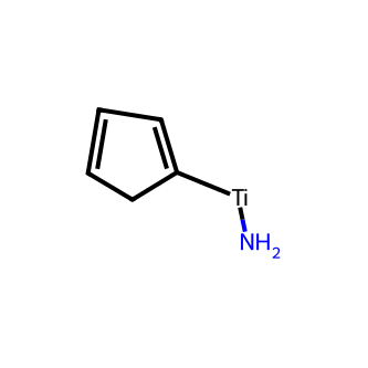 [NH2][Ti][C]1=CC=CC1